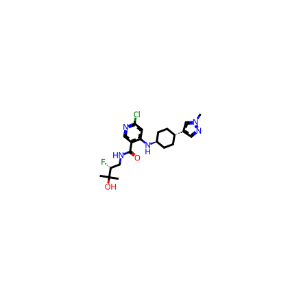 Cn1cc([C@H]2CC[C@H](Nc3cc(Cl)ncc3C(=O)NC[C@@H](F)C(C)(C)O)CC2)cn1